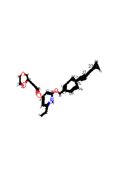 CCc1cc(OCC2COCCO2)cc(OCc2ccc(C#CC3CC3)cc2)n1